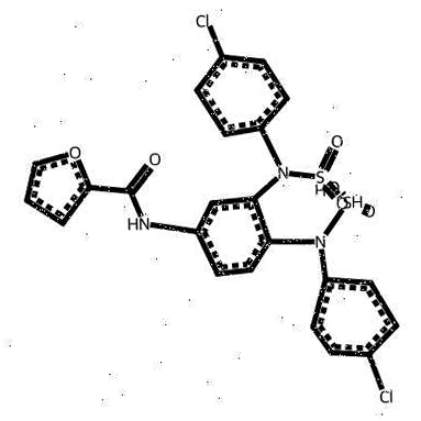 O=C(Nc1ccc(N(c2ccc(Cl)cc2)[SH](=O)=O)c(N(c2ccc(Cl)cc2)[SH](=O)=O)c1)c1ccco1